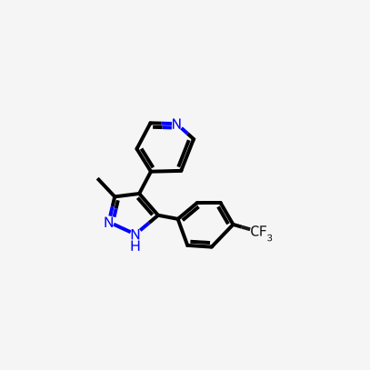 Cc1n[nH]c(-c2ccc(C(F)(F)F)cc2)c1-c1ccncc1